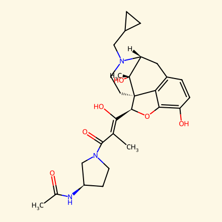 CC(=O)N[C@@H]1CCN(C(=O)/C(C)=C(\O)[C@@H]2Oc3c(O)ccc4c3[C@@]23CCN(CC2CC2)[C@H](C4)[C@@]3(C)O)C1